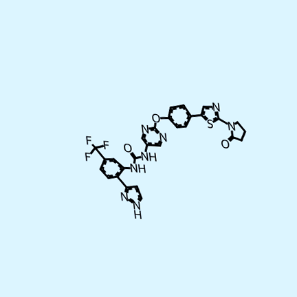 O=C(Nc1cnc(Oc2ccc(-c3cnc(N4CCCC4=O)s3)cc2)nc1)Nc1cc(C(F)(F)F)ccc1-c1cc[nH]n1